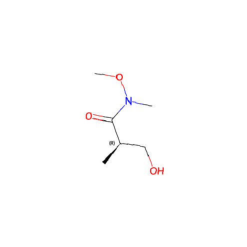 CON(C)C(=O)[C@H](C)CO